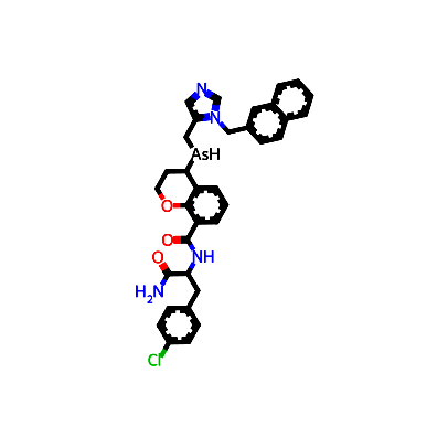 NC(=O)C(Cc1ccc(Cl)cc1)NC(=O)c1cccc2c1OCCC2[AsH]Cc1cncn1Cc1ccc2ccccc2c1